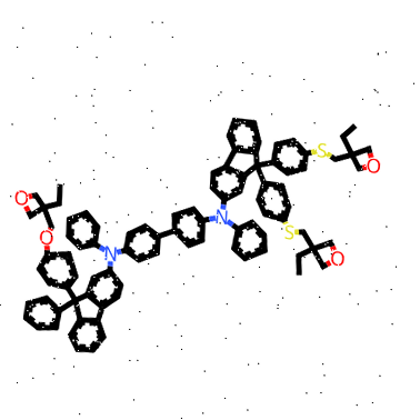 CCC1(COc2ccc(C3(c4ccccc4)c4ccccc4-c4ccc(N(c5ccccc5)c5ccc(-c6ccc(N(c7ccccc7)c7ccc8c(c7)C(c7ccc(SCC9(CC)COC9)cc7)(c7ccc(SCC9(CC)COC9)cc7)c7ccccc7-8)cc6)cc5)cc43)cc2)COC1